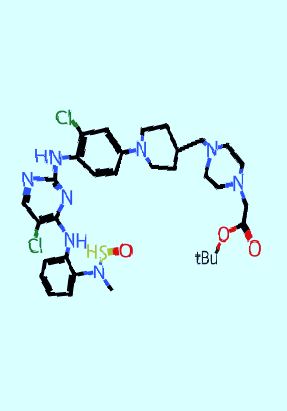 CN([SH]=O)c1ccccc1Nc1nc(Nc2ccc(N3CCC(CN4CCN(CC(=O)OC(C)(C)C)CC4)CC3)cc2Cl)ncc1Cl